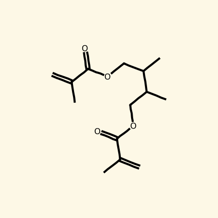 C=C(C)C(=O)OCC(C)C(C)COC(=O)C(=C)C